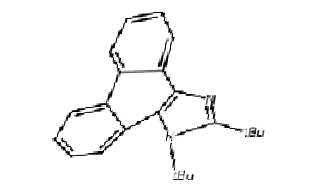 CC(C)(C)c1nc2c3ccccc3c3ccccc3c2n1C(C)(C)C